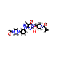 CC(=O)N1CCN(c2cccc(-n3ncc4c(=O)n(CC5(O)CCN(C(=O)C6CC6)CC5)cnc43)c2)CC1